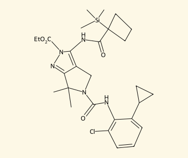 CCOC(=O)n1nc2c(c1NC(=O)C1([Si](C)(C)C)CCC1)CN(C(=O)Nc1c(Cl)cccc1C1CC1)C2(C)C